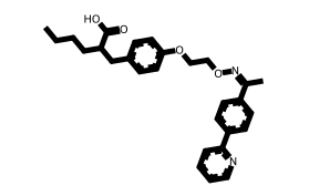 CCCCC(Cc1ccc(OCCON=C(C)c2ccc(-c3ccccn3)cc2)cc1)C(=O)O